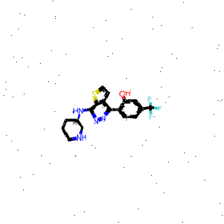 Oc1cc(C(F)(F)F)ccc1-c1nnc(N[C@@H]2CCCNC2)c2sccc12